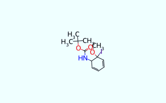 COC1(I)C=CC=CC1NC(=O)OC(C)(C)C